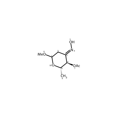 COC1C/C(=N\O)[C@@H](OC(C)=O)[C@H](C)O1